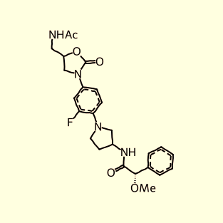 CO[C@H](C(=O)NC1CCN(c2ccc(N3CC(CNC(C)=O)OC3=O)cc2F)C1)c1ccccc1